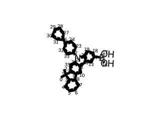 CC1(C)c2ccccc2-c2cc3c4cc(B(O)O)ccc4n(-c4ccc(-c5ccccc5)cc4)c3cc21